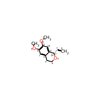 C=C[C@@H]1OCCc2cc(OC)c(OC)cc21